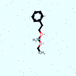 CCO[SiH2]OCCc1ccccc1